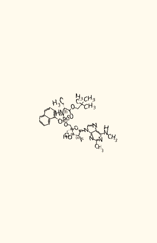 CNc1nc(C)nc2c1ncn2[C@@H]1O[C@](CCl)(CO[P@@](=S)(N[C@H](C)C(=O)OCC(C)(C)C)Oc2cccc3ccccc23)[C@@H](O)[C@@H]1F